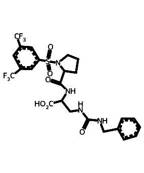 O=C(NCc1ccccc1)NCC(NC(=O)C1CCCN1S(=O)(=O)c1cc(C(F)(F)F)cc(C(F)(F)F)c1)C(=O)O